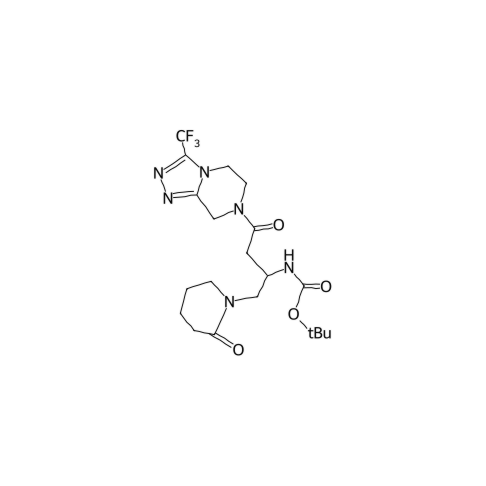 CC(C)(C)OC(=O)NC(CC(=O)N1CCn2c(nnc2C(F)(F)F)C1)CN1CCCCC1=O